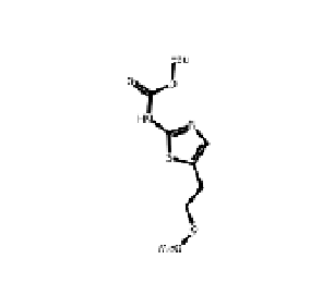 COOCCc1cnc(NC(=O)OC(C)(C)C)s1